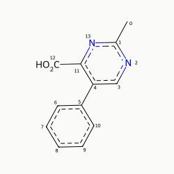 Cc1ncc(-c2ccccc2)c(C(=O)O)n1